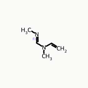 C=CN(C)/C=N/C